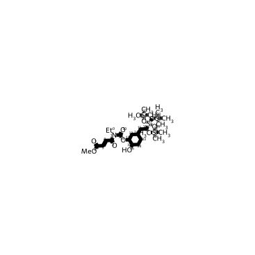 CCN(C(=O)C=CC(=O)OC)C(=O)OC1CC(CC[Si](O[Si](C)(C)C)(O[Si](C)(C)C)O[Si](C)(C)C)CCC1O